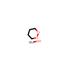 C1CCOOC1.CC(C)(C)O